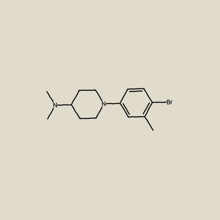 Cc1cc(N2CCC(N(C)C)CC2)ccc1Br